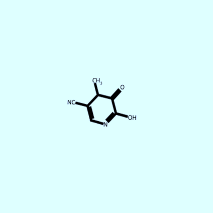 CC1C(=O)C(O)=NC=C1C#N